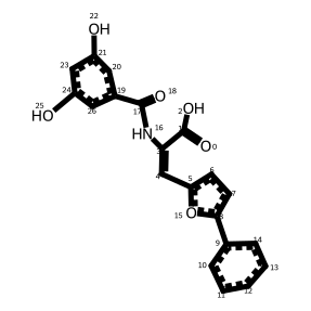 O=C(O)/C(=C\c1ccc(-c2ccccc2)o1)NC(=O)c1cc(O)cc(O)c1